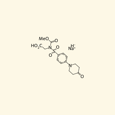 COC(=O)N(CC(=O)O)S(=O)(=O)c1ccc(N2CCC(=O)CC2)cc1.[H-].[Na+]